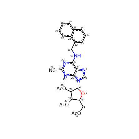 CC(=O)OCC1O[C@@H](n2cnc3c(NCc4cccc5ccccc45)nc(C#N)nc32)C(OC(C)=O)C1OC(C)=O